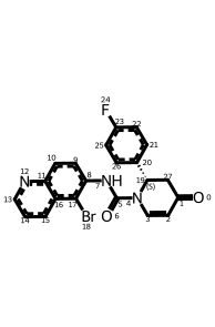 O=C1C=CN(C(=O)Nc2ccc3ncccc3c2Br)[C@H](c2ccc(F)cc2)C1